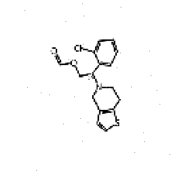 O=COC[C@@H](c1ccccc1Cl)N1CCc2sccc2C1